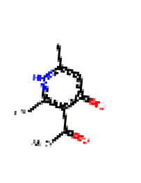 CCCc1[nH]c(C)cc(=O)c1C(=O)OC